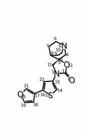 O=C1O[C@]2(CN3CCC2CC3)CN1c1csc(-c2ccoc2)c1